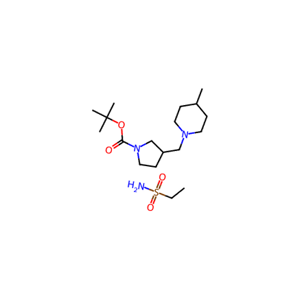 CC1CCN(CC2CCN(C(=O)OC(C)(C)C)C2)CC1.CCS(N)(=O)=O